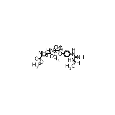 CPNC(=N)Nc1ccc(OC(=O)C(C)(C)NC(=O)CCC(N)C(=O)OP)cc1